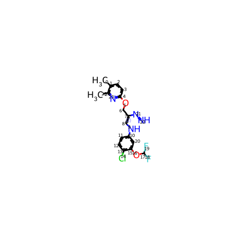 Cc1ccc(OC/C(=C/Nc2ccc(Cl)c(OC(F)F)c2)N=N)nc1C